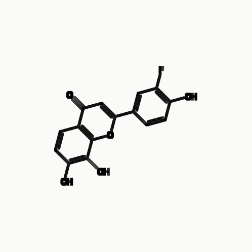 O=c1cc(-c2ccc(O)c(F)c2)oc2c(O)c(O)ccc12